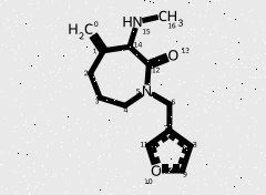 C=C1CCCN(Cc2ccoc2)C(=O)C1NC